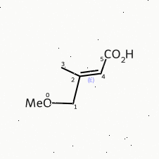 COC/C(C)=C/C(=O)O